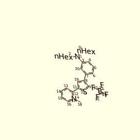 CCCCCCN(CCCCCC)c1cccc(-c2csc(-c3cccc[n+]3C)c2)c1.F[B-](F)(F)F